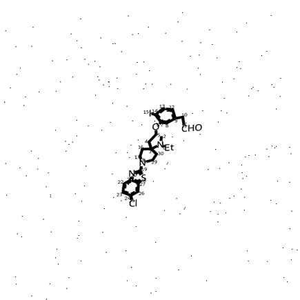 CCN(C)C1(CCOc2cc(CC=O)ccc2I)CCN(c2nc3ccc(Cl)cc3s2)CC1